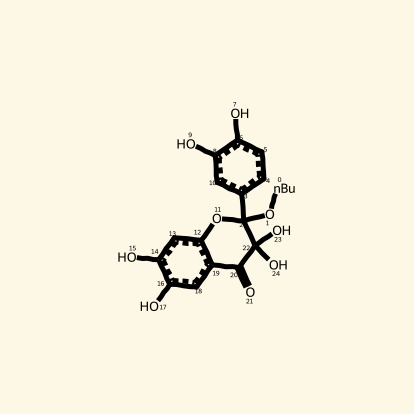 CCCCOC1(c2ccc(O)c(O)c2)Oc2cc(O)c(O)cc2C(=O)C1(O)O